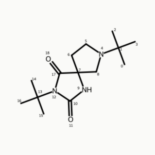 CC(C)(C)N1CCC2(C1)NC(=O)N(C(C)(C)C)C2=O